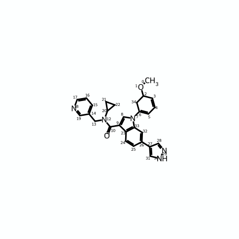 COC1C=CC=C(n2cc(C(=O)N(Cc3cccnc3)C3CC3)c3ccc(-c4cn[nH]c4)cc32)C1